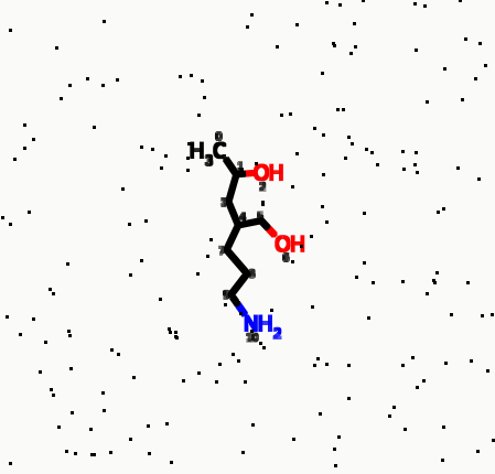 CC(O)CC(CO)CCCN